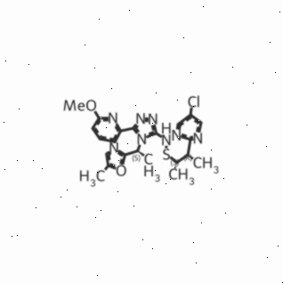 COc1cccc(-c2nnc(NS[C@@H](C)[C@H](C)c3ncc(Cl)cn3)n2[C@@H](C)c2ncc(C)o2)n1